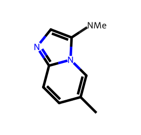 CNc1cnc2ccc(C)cn12